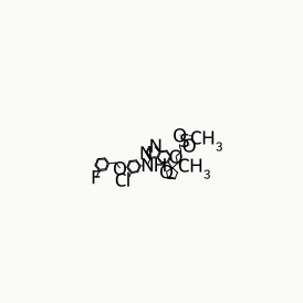 CCS(=O)(=O)CCOC(C)C1(c2ccc3ncnc(Nc4ccc(OCc5cccc(F)c5)c(Cl)c4)c3c2)CC=CO1